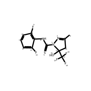 CC1=NN(C(=S)Nc2c(F)cccc2F)C(O)(C(F)(F)F)C1